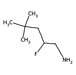 CC(C)(C)CC(F)CN